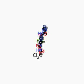 O=C(NC[C@H]1CN(c2cc(F)c(N3CCN(C(=O)CNC(=O)c4cn5ccncc5n4)CC3)c(F)c2)C(=O)O1)OCC(Cl)(Cl)Cl